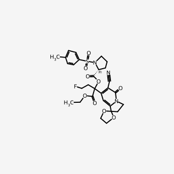 CCOC(=O)C(CCF)(OC(=O)[C@H]1CCCN1S(=O)(=O)c1ccc(C)cc1)c1cc2n(c(=O)c1C#N)CCC21OCCO1